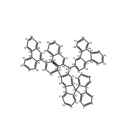 c1ccc2c(c1)-c1ccccc1C21c2ccccc2-c2cc(-c3ccc(-c4cc5ccccc5c5ccccc45)cc3)c(N(c3ccc4ccccc4c3)c3ccc4c5ccccc5c5ccccc5c4c3)cc21